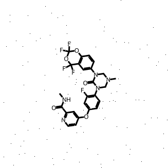 CNC(=O)c1cc(Oc2ccc(N3CN(C)CN(c4ccc5c(c4)C(F)(F)OC(F)(F)O5)C3=O)c(F)c2)ccn1